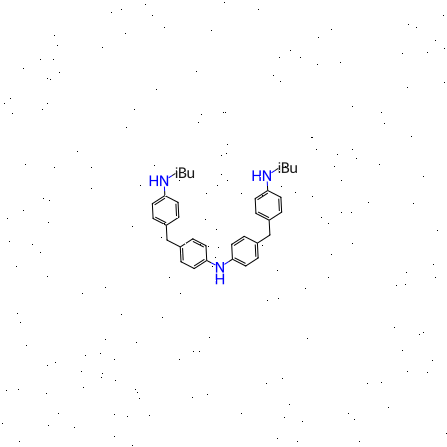 CCC(C)Nc1ccc(Cc2ccc(Nc3ccc(Cc4ccc(NC(C)CC)cc4)cc3)cc2)cc1